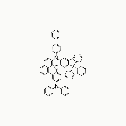 c1ccc(-c2ccc(N(c3ccc4c(c3)-c3ccccc3C4(c3ccccc3)c3ccccc3)c3ccc4cccc5c4c3Oc3ccc(N(c4ccccc4)c4ccccc4)cc3-5)cc2)cc1